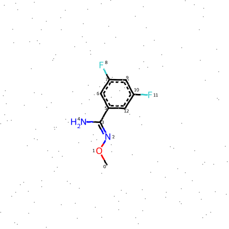 CON=C(N)c1cc(F)[c]c(F)c1